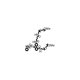 COC(C)(C)CCOC(C)(C)CCNC(=O)CCCC(=O)Nc1ccc2c(c1)C(COC(=O)On1nnc3ccccc31)c1cccc(C(=O)NCCC(C)(C)OCCC(C)(C)OC)c1-2